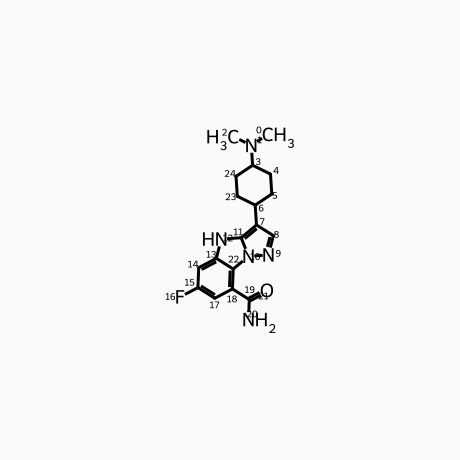 CN(C)C1CCC(c2cnn3c2[nH]c2cc(F)cc(C(N)=O)c23)CC1